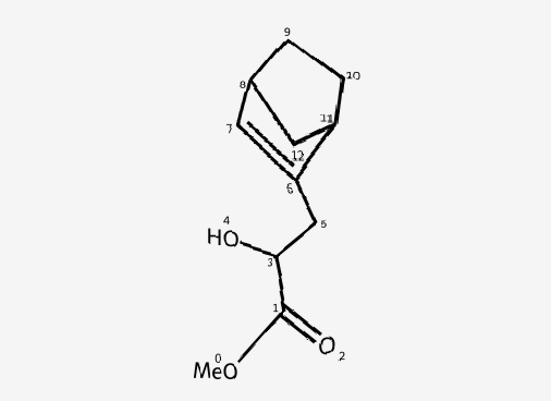 COC(=O)C(O)CC1=CC2CCC1C2